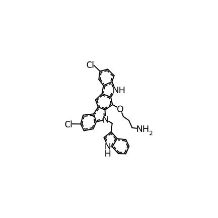 NCCCOc1c2[nH]c3ccc(Cl)cc3c2cc2c3cc(Cl)ccc3n(Cc3c[nH]c4ccccc34)c12